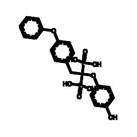 O=P(O)(O)C(Cc1ccc(Oc2ccccc2)cc1)(Oc1ccc(O)cc1)P(=O)(O)O